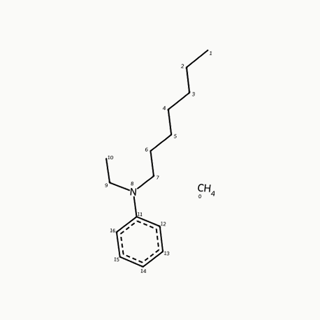 C.CCCCCCCN(CC)c1ccccc1